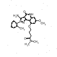 COc1cc(OCCCC(=O)N(C)C)c2c(c1)[nH]c(=O)c1c(N)n(-c3ccccc3C)nc12